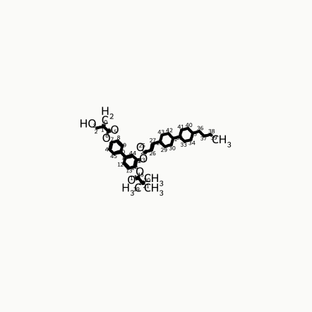 C=C(CO)C(=O)Oc1ccc(-c2ccc(OC(=O)C(C)(C)C)c(OC(=O)/C=C/C3CCC(C4CCC(CCCC)CC4)CC3)c2)cc1